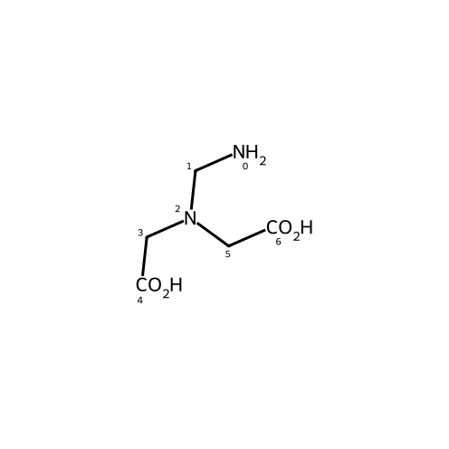 NCN(CC(=O)O)CC(=O)O